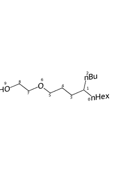 CCCCCCC(CCCC)CCCOCCO